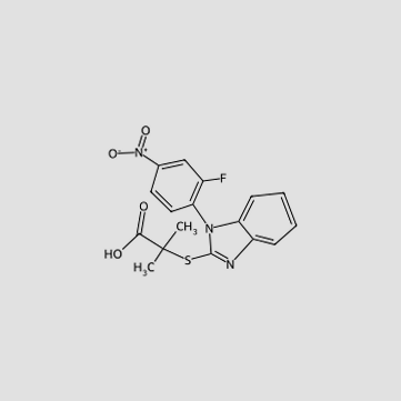 CC(C)(Sc1nc2ccccc2n1-c1ccc([N+](=O)[O-])cc1F)C(=O)O